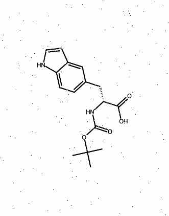 CC(C)(C)OC(=O)N[C@H](Cc1ccc2[nH]ccc2c1)C(=O)O